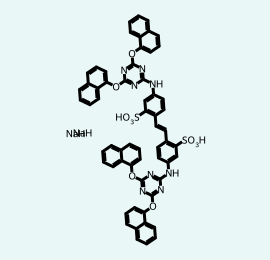 O=S(=O)(O)c1cc(Nc2nc(Oc3cccc4ccccc34)nc(Oc3cccc4ccccc34)n2)ccc1C=Cc1ccc(Nc2nc(Oc3cccc4ccccc34)nc(Oc3cccc4ccccc34)n2)cc1S(=O)(=O)O.[NaH].[NaH]